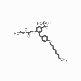 CCCCCCCCOc1ccc(Cc2cc(C(=O)P(=O)(O)O)ccc2OCC(=O)NCCO)cc1